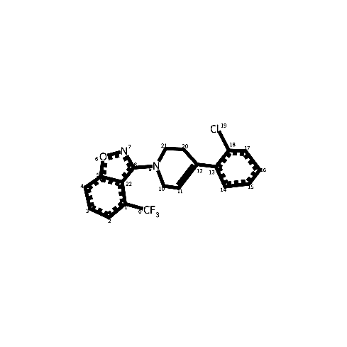 FC(F)(F)c1cccc2onc(N3CC=C(c4ccccc4Cl)CC3)c12